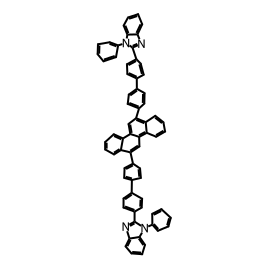 c1ccc(-n2c(-c3ccc(-c4ccc(-c5cc6c7ccccc7c(-c7ccc(-c8ccc(-c9nc%10ccccc%10n9-c9ccccc9)cc8)cc7)cc6c6ccccc56)cc4)cc3)nc3ccccc32)cc1